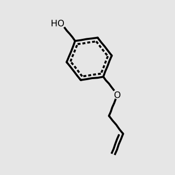 C=CCOc1ccc(O)cc1